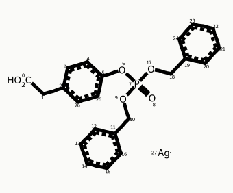 O=C(O)Cc1ccc(OP(=O)(OCc2ccccc2)OCc2ccccc2)cc1.[Ag]